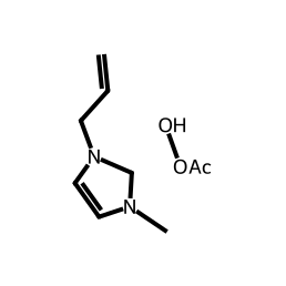 C=CCN1C=CN(C)C1.CC(=O)OO